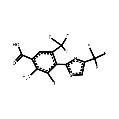 Nc1c(C(=O)O)cc(C(F)(F)F)c(-c2nc(C(F)(F)F)cs2)c1I